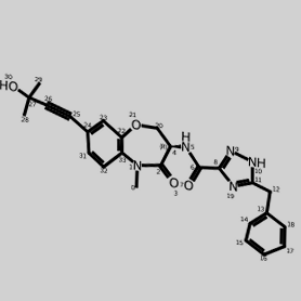 CN1C(=O)[C@H](NC(=O)c2n[nH]c(Cc3ccccc3)n2)COc2cc(C#CC(C)(C)O)ccc21